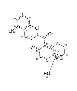 O=C1CC(Nc2c(Cl)cccc2Cl)C=C2N=CC34NC(O)NC3CCCC4=C12